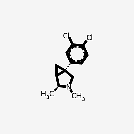 C[C@H]1C2C[C@@]2(c2ccc(Cl)c(Cl)c2)CN1C